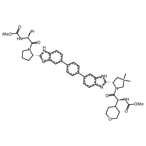 COC(=O)N[C@H](C(=O)N1CCC[C@H]1c1nc2cc(-c3ccc(-c4ccc5nc([C@@H]6CS(C)(C)CN6C(=O)[C@@H](NC(=O)OC)C6CCOCC6)[nH]c5c4)cc3)ccc2[nH]1)C(C)C